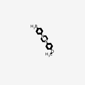 Bc1ccc(N2CCN(c3ccc(OC)cc3)CC2)cc1